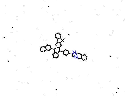 CC1(C)c2ccccc2-c2cc3c(-c4ccc5ccccc5c4)c4ccccc4c(-c4ccc(-c5cn6cc7ccccc7cc6n5)cc4)c3cc21